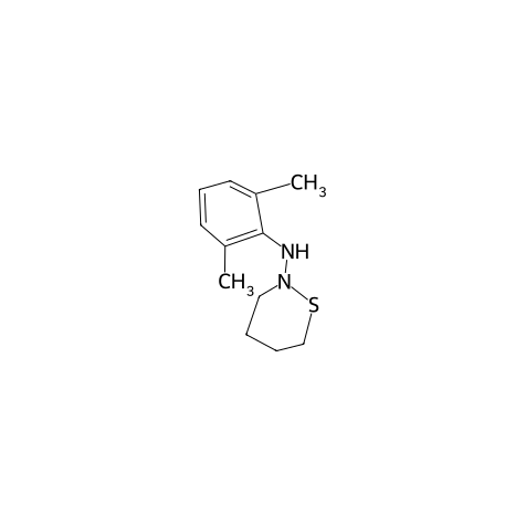 Cc1cccc(C)c1NN1CCCCS1